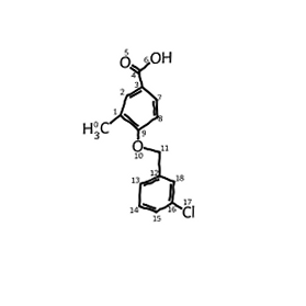 Cc1cc(C(=O)O)ccc1OCc1cccc(Cl)c1